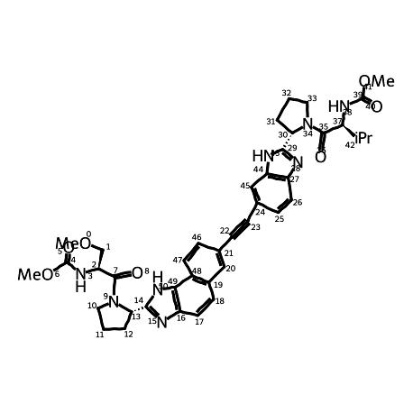 COC[C@H](NC(=O)OC)C(=O)N1CCC[C@H]1c1nc2ccc3cc(C#Cc4ccc5nc([C@@H]6CCCN6C(=O)[C@@H](NC(=O)OC)C(C)C)[nH]c5c4)ccc3c2[nH]1